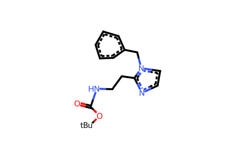 CC(C)(C)OC(=O)NCCc1nccn1Cc1ccccc1